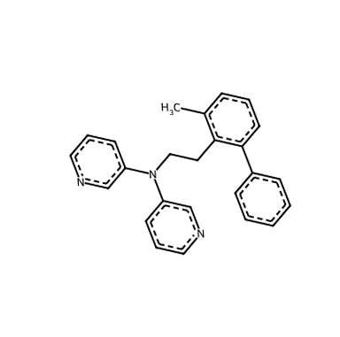 Cc1cccc(-c2ccccc2)c1CCN(c1cccnc1)c1cccnc1